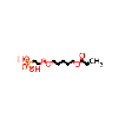 C=CC(=O)OCCCCCOOCCP(=O)(O)O